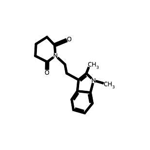 Cc1c(CCN2C(=O)CCCC2=O)c2ccccc2n1C